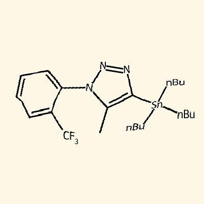 CCC[CH2][Sn]([CH2]CCC)([CH2]CCC)[c]1nnn(-c2ccccc2C(F)(F)F)c1C